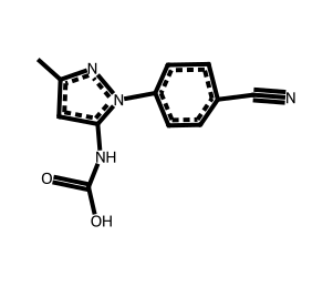 Cc1cc(NC(=O)O)n(-c2ccc(C#N)cc2)n1